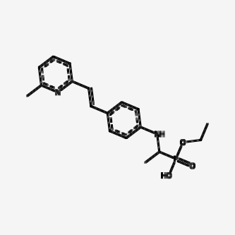 CCOP(=O)(O)C(C)Nc1ccc(C=Cc2cccc(C)n2)cc1